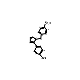 CC(C)(C)c1ccc(C2=CC=CC2Cc2ccc(C(=O)O)cc2)cc1